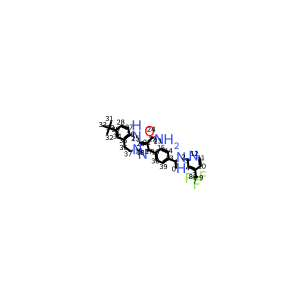 CC(Nc1cc(C(F)(F)F)ccn1)c1ccc(-c2nn3c(c2C(N)=O)Nc2ccc(C(C)(C)C)cc2CC3)cc1